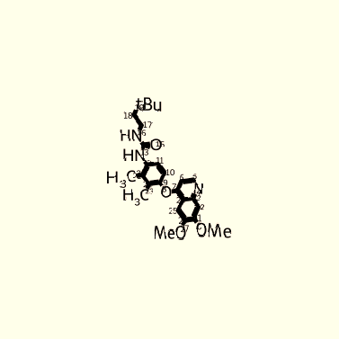 COc1cc2nccc(Oc3ccc(NC(=O)NCCC(C)(C)C)c(C)c3C)c2cc1OC